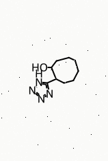 O[C]1CCCCCCC1c1nnn[nH]1